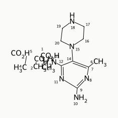 CC(=O)O.CC(=O)O.CC(=O)O.Cc1nc(N)nc(N)c1N1CCNCC1